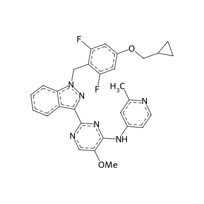 COc1cnc(-c2nn(Cc3c(F)cc(OCC4CC4)cc3F)c3ccccc23)nc1Nc1ccnc(C)c1